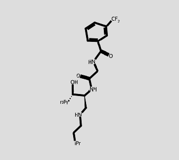 CCC[C@H](O)[C@H](CNCCC(C)C)NC(=O)CNC(=O)c1cccc(C(F)(F)F)c1